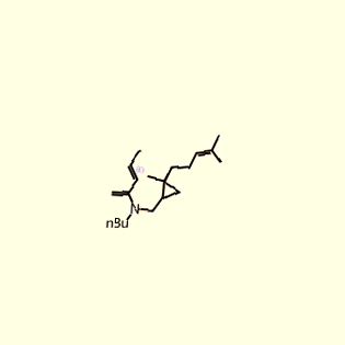 C=C(/C=C/C)N(CCCC)CC1CC1(C)CCC=C(C)C